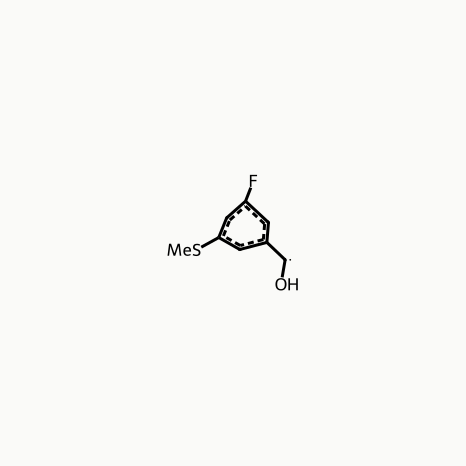 CSc1cc(F)cc([CH]O)c1